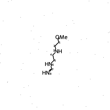 COCCNCCNC=N